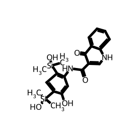 C[Si](C)(O)c1cc([Si](C)(C)O)c(NC(=O)c2c[nH]c3ccccc3c2=O)cc1O